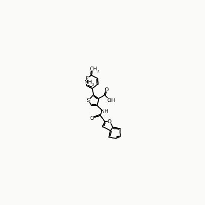 C=C(F)/C=C\C(=C/N)c1scc(NC(=O)c2cc3ccccc3o2)c1C(=O)O